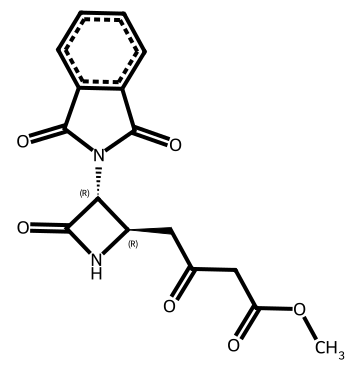 COC(=O)CC(=O)C[C@H]1NC(=O)[C@@H]1N1C(=O)c2ccccc2C1=O